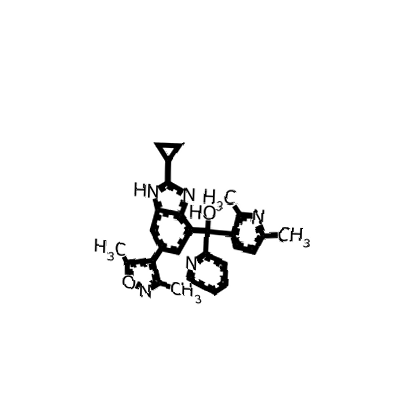 Cc1ccc(C(O)(c2ccccn2)c2cc(-c3c(C)noc3C)cc3[nH]c(C4CC4)nc23)c(C)n1